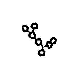 c1ccc(-c2ccc(-c3ccc(N(c4ccccc4)c4ccc5ccccc5c4)cc3)cc2-c2ccccc2)cc1